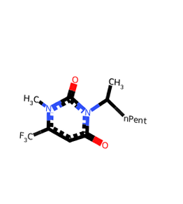 CCCCCC(C)n1c(=O)cc(C(F)(F)F)n(C)c1=O